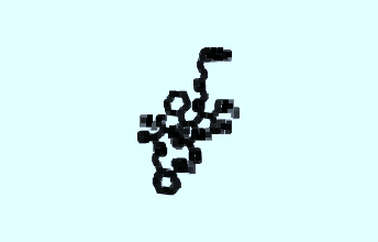 COCCOCOC(C(C)O)C(NC(=O)OC(C)(C)C)C(NC(C)C(=O)OCc1ccccc1)C1CCCCC1